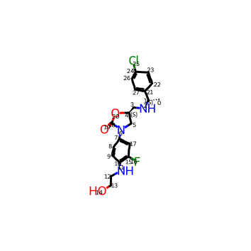 C[C@H](NC[C@H]1CN(c2ccc(NCCO)c(F)c2)C(=O)O1)c1ccc(Cl)cc1